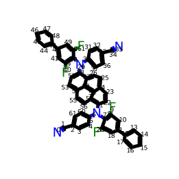 N#Cc1ccc(N(c2c(F)cc(-c3ccccc3)cc2F)c2ccc3ccc4c(N(c5ccc(C#N)cc5)c5c(F)cc(-c6ccccc6)cc5F)ccc5ccc2c3c54)cc1